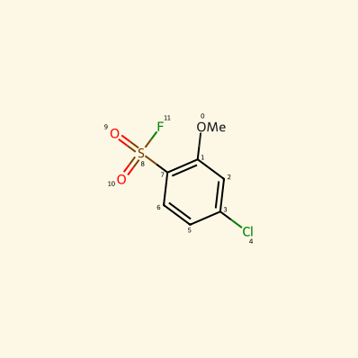 COc1cc(Cl)ccc1S(=O)(=O)F